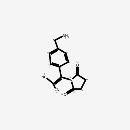 N#CC(C#N)=C(c1ccc(CN)cc1)N1C(=O)CCC1=O